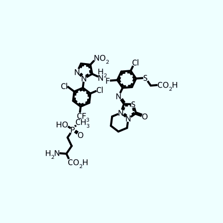 CP(=O)(O)CCC(N)C(=O)O.Nc1c([N+](=O)[O-])cnn1-c1c(Cl)cc(C(F)(F)F)cc1Cl.O=C(O)CSc1cc(N=c2sc(=O)n3n2CCCC3)c(F)cc1Cl